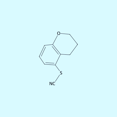 N#CSc1cccc2c1CCCO2